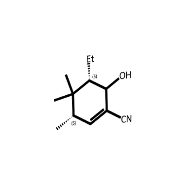 CC[C@@H]1C(O)C(C#N)=C[C@H](C)C1(C)C